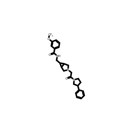 O=C(NCC1C2CN(CC(=O)N3CCC(c4ccccc4)C3)CC12)c1cccc(OC(F)(F)F)c1